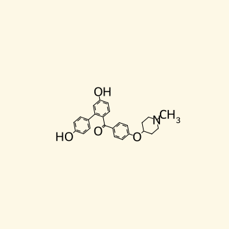 CN1CCC(Oc2ccc(C(=O)c3ccc(O)cc3-c3ccc(O)cc3)cc2)CC1